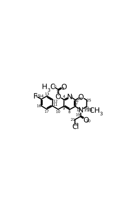 CC(=O)Oc1nc2c(cc1Cc1ccc(F)cc1)N(C(=O)CCl)[C@@H](C)CO2